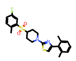 Cc1ccc(F)cc1S(=O)(=O)C1CCN(c2nc(-c3c(C)cccc3C)cs2)CC1